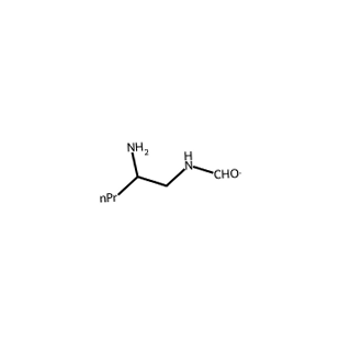 CCCC(N)CN[C]=O